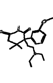 CCN(CC)CCC1(c2cccc(OC)c2)C(=O)NC(=O)CC1(C)C